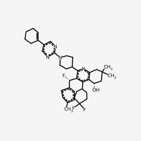 Cc1ccc([C@H](F)c2c(C3CCN(c4ncc(C5=CCCCC5)cn4)CC3)nc3c(c2C2CCC(F)(F)CC2)[C@@H](O)CC(C)(C)C3)cc1